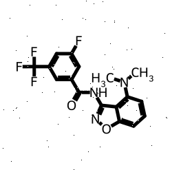 CN(C)c1cccc2onc(NC(=O)c3cc(F)cc(C(F)(F)F)c3)c12